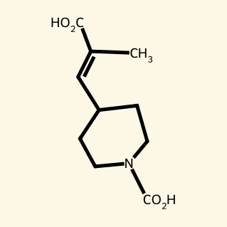 CC(=CC1CCN(C(=O)O)CC1)C(=O)O